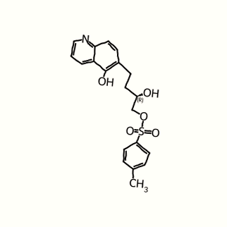 Cc1ccc(S(=O)(=O)OC[C@H](O)CCc2ccc3ncccc3c2O)cc1